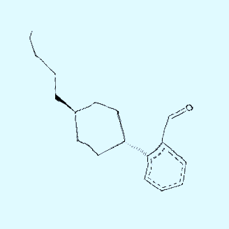 CCCC[C@H]1CC[C@H](c2ccccc2C=O)CC1